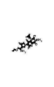 CCOCC(N)C1CN(c2c(F)nc3c(=O)n(N)c(=O)n(C4CC4)c3c2C)CC1C